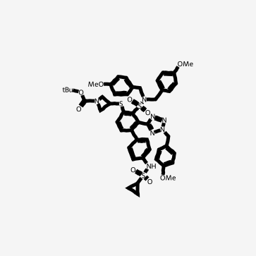 COc1ccc(CN(Cc2ccc(OC)cc2)S(=O)(=O)c2c(SC3CN(C(=O)OC(C)(C)C)C3)ccc(-c3ccc(NS(=O)(=O)C4CC4)cc3)c2-c2nnn(Cc3ccc(OC)cc3)n2)cc1